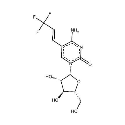 Nc1nc(=O)n([C@@H]2O[C@H](CO)[C@@H](O)[C@@H]2O)cc1C=CC(F)(F)F